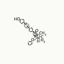 CC(NCCOc1ccccc1)C(C)n1ncn(-c2ccc(N3CCN(c4ccc(O)cc4)CC3)cc2)c1=O